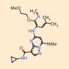 C=N/C(OCCOC)=C(\C=C(C)C)Nc1cc(NC)n2ncc(C(=O)NC3CC3)c2n1